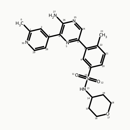 Cc1cc(-c2nc(-c3cc(S(=O)(=O)NC4CCOCC4)ccc3C)cnc2N)ccn1